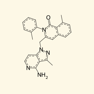 Cc1ccccc1-n1c(Cn2nc(C)c3c(N)nccc32)cc2cccc(C)c2c1=O